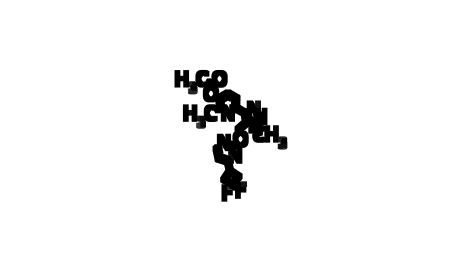 CC(=O)Oc1ccc(-c2nnn(C)c2COc2nccc(C3CC(F)(F)C3)n2)nc1C